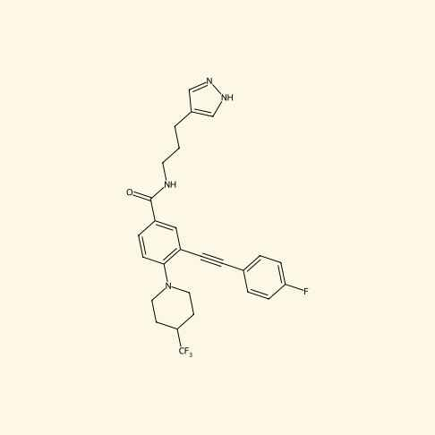 O=C(NCCCc1cn[nH]c1)c1ccc(N2CCC(C(F)(F)F)CC2)c(C#Cc2ccc(F)cc2)c1